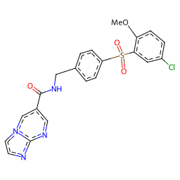 COc1ccc(Cl)cc1S(=O)(=O)c1ccc(CNC(=O)c2cnc3nccn3c2)cc1